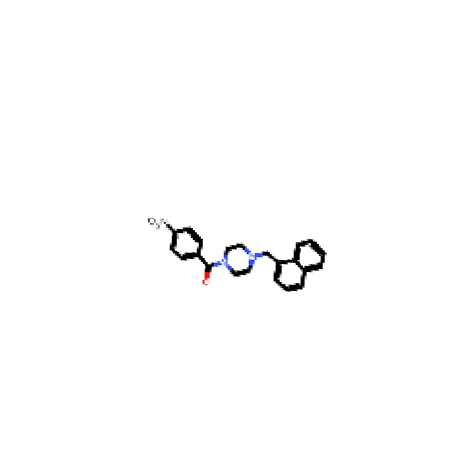 O=C(c1ccc([N+](=O)[O-])cc1)N1CCN(Cc2cccc3ccccc23)CC1